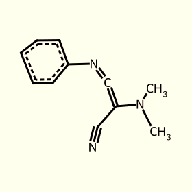 CN(C)C(=C=Nc1ccccc1)C#N